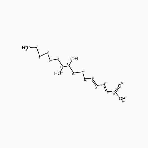 CCCCCCC(O)C(O)CCCC=CC=CC(=O)O